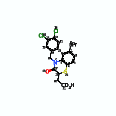 CCCc1ccc2c(c1)N(Cc1ccc(Cl)c(Cl)c1)C(=O)C(CC(=O)O)S2